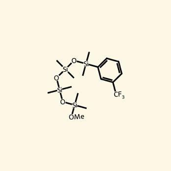 CO[Si](C)(C)O[Si](C)(C)O[Si](C)(C)O[Si](C)(C)c1cccc(C(F)(F)F)c1